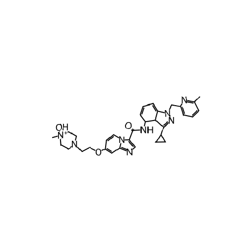 Cc1cccc(CN2N=C(C3CC3)C3C2=CC=CC3NC(=O)c2cnc3cc(OCCN4CC[N+](C)(O)CC4)ccn23)n1